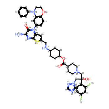 Nc1nc2sc(CNC3CCC(OC(=O)C4CCN(CC(O)(Cn5cncn5)c5ccc(F)cc5F)CC4)CC3)cc2n(-c2ccc3c(c2)N(c2ccccc2)CCO3)c1=O